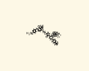 COc1ccc(Cn2ncc(OCCOC3CCN(C4CCN(c5ncc(C(F)(F)F)cn5)CC4O[Si](C)(C)C(C)(C)C)C3=O)c(C(F)(F)F)c2=O)cc1